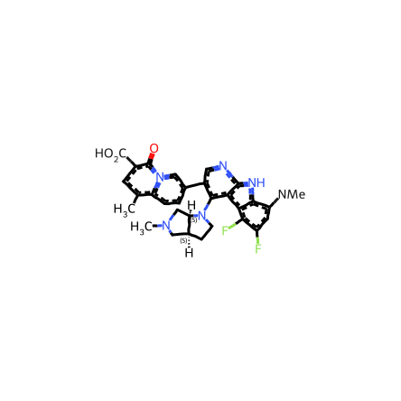 CNc1cc(F)c(F)c2c1[nH]c1ncc(-c3ccc4c(C)cc(C(=O)O)c(=O)n4c3)c(N3CC[C@H]4CN(C)C[C@H]43)c12